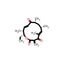 C=C1C(=O)O[C@H](CC)[C@H](C)/C=C/C(=O)[C@H](C)C[C@H](C)/C=C(\C)C1=O